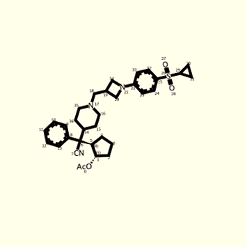 CC(=O)O[C@H]1CCC[C@@H]1C(C#N)(c1ccccc1)C1CCN(CC2CN(c3ccc(S(=O)(=O)C4CC4)cc3)C2)CC1